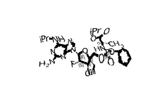 CC(C)Nc1nc(N)nc2c1ncn2[C@@H]1O[C@](CCl)(CO[P@](=O)(N[C@@H](C)C(=O)OC(C)C)Oc2ccccc2)[C@@H](O)[C@@H]1F